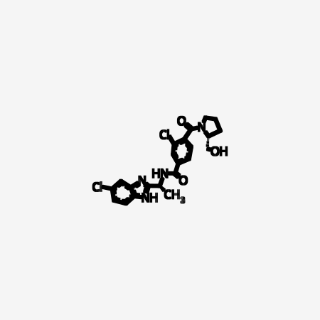 C[C@H](NC(=O)c1ccc(C(=O)N2CCC[C@@H]2CO)c(Cl)c1)c1nc2cc(Cl)ccc2[nH]1